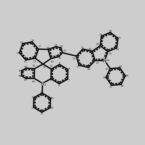 c1ccc(N2c3ccccc3C3(c4ccccc4-c4ccc(-c5ccc6c(c5)c5ccccc5n6-c5ccccc5)cc43)c3ccccc32)cc1